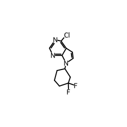 FC1(F)CCCC(n2ccc3c(Cl)ncnc32)C1